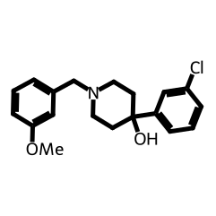 COc1cccc(CN2CCC(O)(c3cccc(Cl)c3)CC2)c1